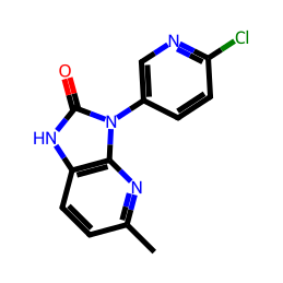 Cc1ccc2[nH]c(=O)n(-c3ccc(Cl)nc3)c2n1